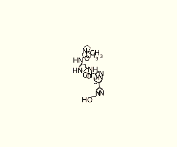 CC1NC=C(NC(=O)CN2CCCC2(C)C)C=C1NC(=O)c1cnn2cc(-c3cnn(CCO)c3)sc12